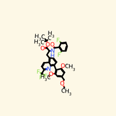 CCOCc1cc(OC)c(-c2ccc(CC(NC(=O)c3c(F)cccc3F)C(=O)OC(C)(C)C)c3ccc(C(F)(F)F)nc23)c(OC)c1